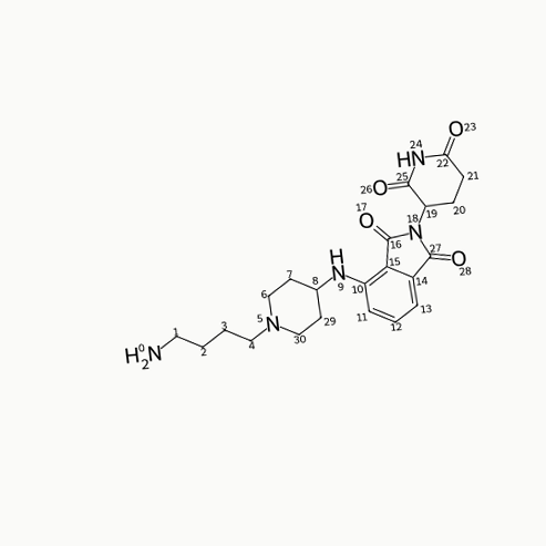 NCCCCN1CCC(Nc2cccc3c2C(=O)N(C2CCC(=O)NC2=O)C3=O)CC1